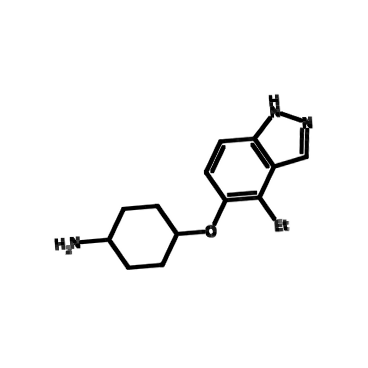 CCc1c(OC2CCC(N)CC2)ccc2[nH]ncc12